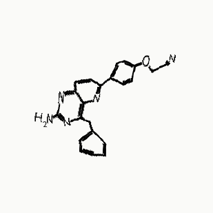 N#CCOc1ccc(-c2ccc3nc(N)nc(Cc4ccccc4)c3n2)cc1